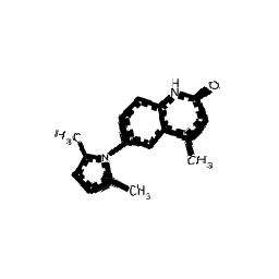 Cc1cc(=O)[nH]c2ccc(-n3c(C)ccc3C)cc12